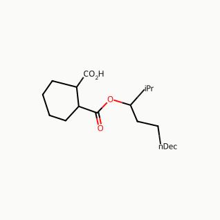 CCCCCCCCCCCCC(OC(=O)C1CCCCC1C(=O)O)C(C)C